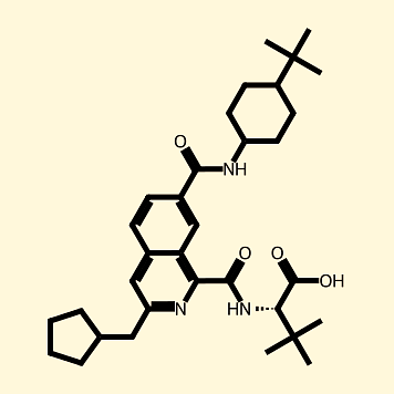 CC(C)(C)C1CCC(NC(=O)c2ccc3cc(CC4CCCC4)nc(C(=O)N[C@H](C(=O)O)C(C)(C)C)c3c2)CC1